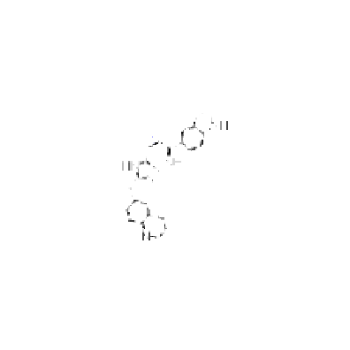 N=C(/C=C\c1nnc(Cc2ccc3ncccc3c2)[nH]1)c1ccc2c(c1)SCN2